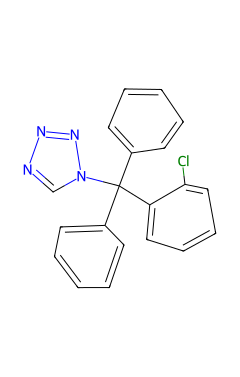 Clc1ccccc1C(c1ccccc1)(c1ccccc1)n1cnnn1